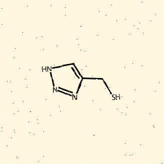 SCc1c[nH]nn1